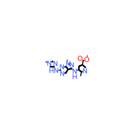 COC(=O)c1cnc(C)c(Nc2nn(C)c3nc(Nc4cn(C)cn4)ncc23)c1